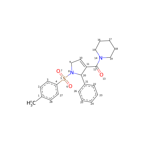 Cc1ccc(S(=O)(=O)N2CC=C(C(=O)N3CCCCC3)C2c2ccccc2)cc1